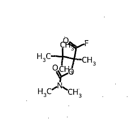 CN(C)C(=O)OC(C)(C(=O)F)C(C)(C)C